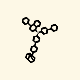 c1ccc(-c2ccc(N(c3ccc(-c4ccc(C56CC7CC(CC(C7)C5)C6)cc4)cc3)c3ccc(-c4ccccc4)c4ccccc34)cc2)cc1